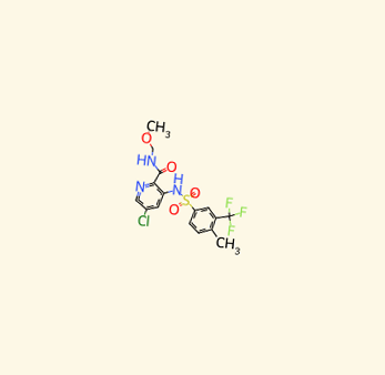 COCNC(=O)c1ncc(Cl)cc1NS(=O)(=O)c1ccc(C)c(C(F)(F)F)c1